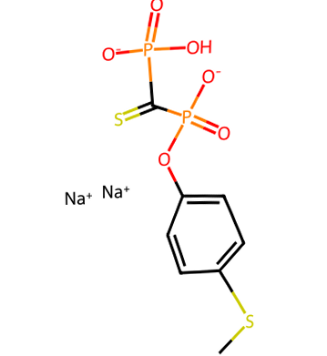 CSc1ccc(OP(=O)([O-])C(=S)P(=O)([O-])O)cc1.[Na+].[Na+]